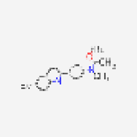 C=C(OC(C)(C)C)N(C)c1ccc(-c2ccc3cc(CC)ccc3n2)cc1